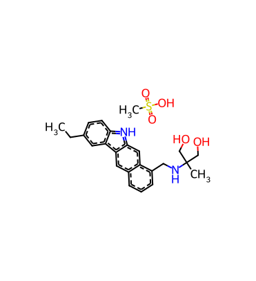 CCc1ccc2[nH]c3cc4c(CNC(C)(CO)CO)cccc4cc3c2c1.CS(=O)(=O)O